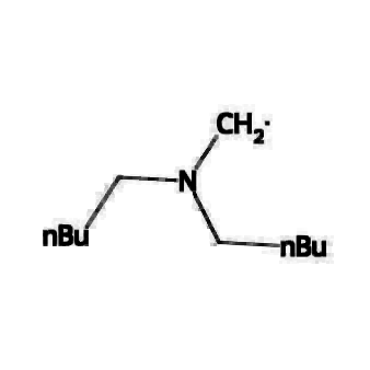 [CH2]N(CCCCC)CCCCC